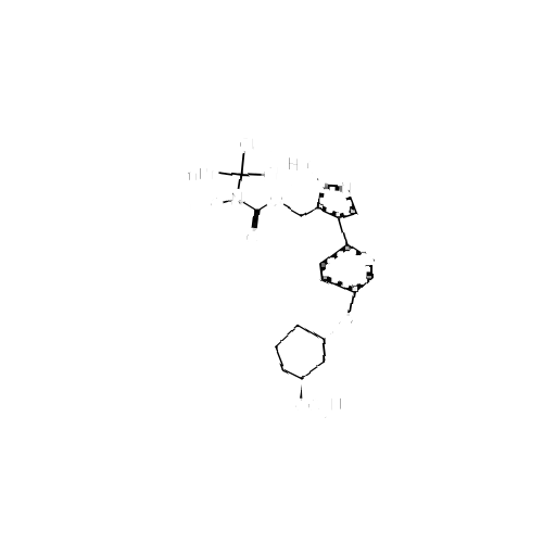 CCCC(C)(C)N(C)C(=O)OCc1c(-c2ccc(O[C@H]3CCC[C@H](C(=O)O)C3)cn2)cnn1C